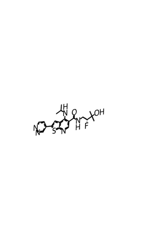 CC(C)Nc1c(C(=O)NC[C@@H](F)C(C)(C)O)cnc2sc(-c3ccnnc3)cc12